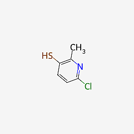 Cc1nc(Cl)ccc1S